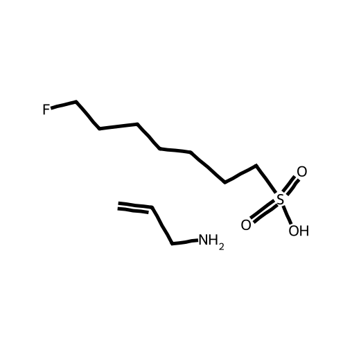 C=CCN.O=S(=O)(O)CCCCCCCF